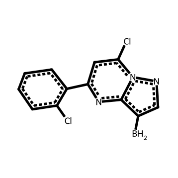 Bc1cnn2c(Cl)cc(-c3ccccc3Cl)nc12